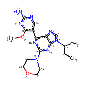 CCC(C)n1cnc2c(-c3cnc(N)nc3OC)nc(N3CCOCC3)nc21